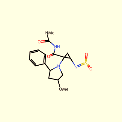 CNC(=O)NC(=O)C1(N2CC(OC)CC2c2ccccc2)CC1N=S(=O)=O